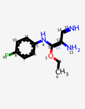 CCO/C(Nc1ccc(F)cc1)=C(\N)C=N